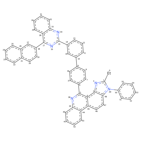 CCc1nc2c3c(-c4ccc(-c5cccc(-c6nc(-c7ccc8ccccc8c7)c7ccccc7n6)c5)cc4)nc4ccccc4c3ccc2n1-c1ccccc1